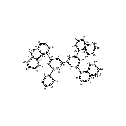 c1ccc(-c2nc(-c3cc(-c4cccc5ncccc45)cc(-c4cccc5ncccc45)c3)cc(-c3cccc4oc5ccccc5c34)n2)cc1